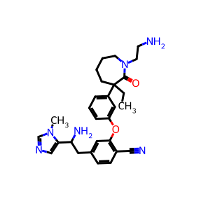 CCC1(c2cccc(Oc3cc(CC(N)c4cncn4C)ccc3C#N)c2)CCCCN(CCN)C1=O